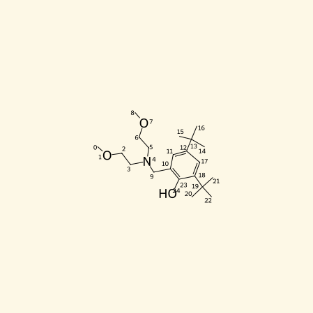 COCCN(CCOC)Cc1cc(C(C)(C)C)cc(C(C)(C)C)c1O